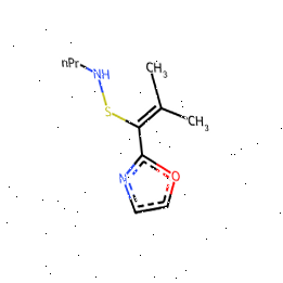 CCCNSC(=C(C)C)c1ncco1